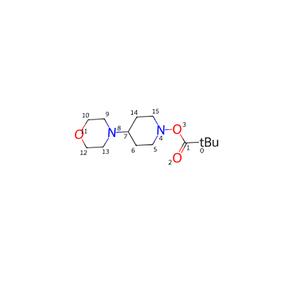 CC(C)(C)C(=O)ON1CCC(N2CCOCC2)CC1